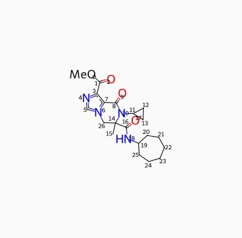 COC(=O)c1ncn2c1C(=O)N(C1CC1)C(C)(C(=O)NC1CCCCCC1)C2